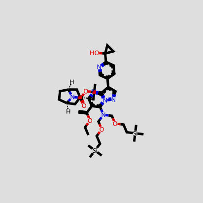 C=C(OCC)c1c([C@@H]2C[C@H]3CC[C@@H](C2)N3C(=O)OC(C)(C)C)nc2c(-c3ccc(C4(O)CC4)nc3)cnn2c1N(COCC[Si](C)(C)C)COCC[Si](C)(C)C